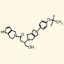 CC(F)(F)Oc1ccc(N2CC3=C(C2)CN(C(CO)CC(=O)N2CCc4[nH]ccc4C2)C3)cc1